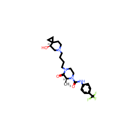 C[C@H]1C(=O)N(CCCCN2CCC3(CC3)[C@H](O)C2)CCN1C(=O)Nc1ccc(C(F)(F)F)cc1